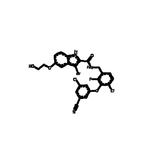 N#Cc1cc(Cl)cc(Oc2c(Cl)ccc(CNC(=O)c3[nH]c4ccc(OCCO)cc4c3Br)c2F)c1